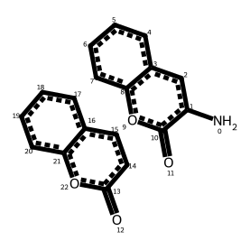 Nc1cc2ccccc2oc1=O.O=c1ccc2ccccc2o1